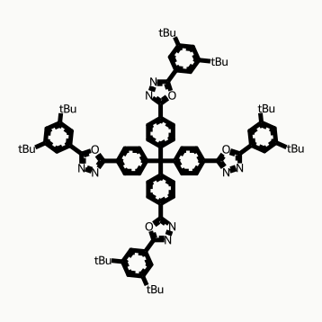 CC(C)(C)c1cc(-c2nnc(-c3ccc(C(c4ccc(-c5nnc(-c6cc(C(C)(C)C)cc(C(C)(C)C)c6)o5)cc4)(c4ccc(-c5nnc(-c6cc(C(C)(C)C)cc(C(C)(C)C)c6)o5)cc4)c4ccc(-c5nnc(-c6cc(C(C)(C)C)cc(C(C)(C)C)c6)o5)cc4)cc3)o2)cc(C(C)(C)C)c1